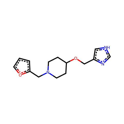 c1coc(CN2CCC(OCc3c[nH]cn3)CC2)c1